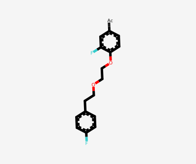 CC(=O)c1ccc(OCCOCCc2ccc(F)cc2)c(F)c1